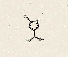 OB(O)c1c[nH]c(Cl)c1